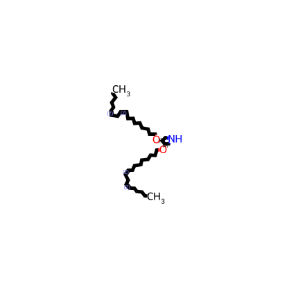 CCCCC/C=C\C/C=C\CCCCCCCCO[C@H]1CNC[C@H]1OCCCCCCCC/C=C\C/C=C\CCCCC